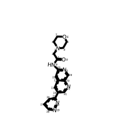 O=C(CN1CCOCC1)Nc1cc2cc(-c3cccnn3)cnc2cn1